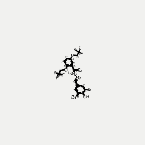 O=C(N/N=C/c1cc(Br)c(O)c(Br)c1)c1cc(OCC(F)(F)F)ccc1OCC(F)(F)F